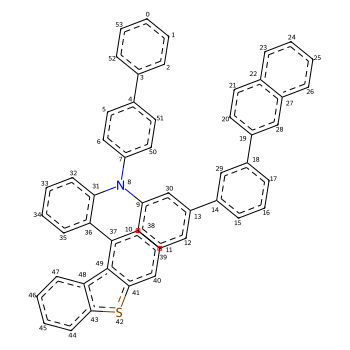 c1ccc(-c2ccc(N(c3cccc(-c4cccc(-c5ccc6ccccc6c5)c4)c3)c3ccccc3-c3cccc4sc5ccccc5c34)cc2)cc1